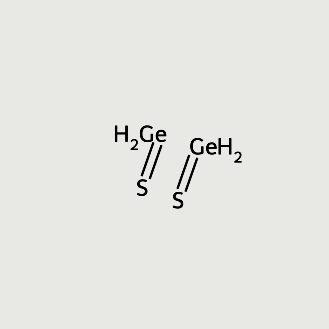 [S]=[GeH2].[S]=[GeH2]